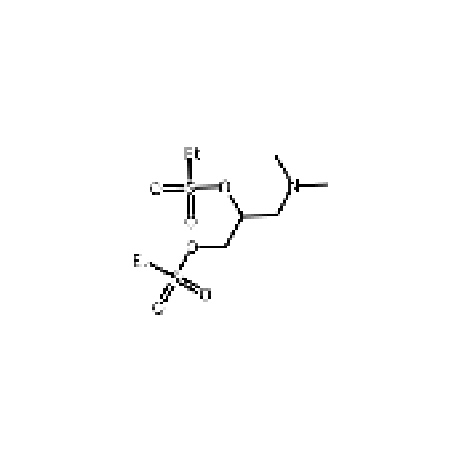 CCS(=O)(=O)OCC(CN(C)C)OS(=O)(=O)CC